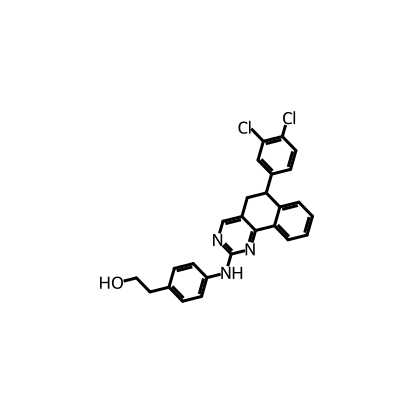 OCCc1ccc(Nc2ncc3c(n2)-c2ccccc2C(c2ccc(Cl)c(Cl)c2)C3)cc1